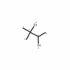 CCC(C)(C)C(C)C(C)=O